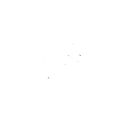 C[C@@H](O)[C@H]1C(=O)N2C(C(=O)O)=C(S[C@@H]3CN[C@H](CNS(=O)(=O)O)C3)[C@H](C)[C@H]12